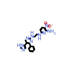 Nc1nc(NCCNc2ncc(-c3cnc[nH]3)c(-c3ccccc3)n2)ccc1[N+](=O)[O-]